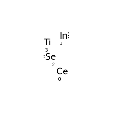 [Ce].[In].[Se].[Ti]